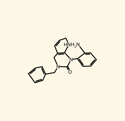 Nc1ccccc1N1C(=O)N(Cc2ccccc2)CC2=C1NCC=C2